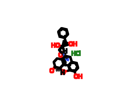 Cl.O=C1CCC2(OCC(O)C(O)c3ccccc3)[C@H]3Cc4ccc(O)c5c4[C@@]2(CCN3CC2CC2)[C@H]1O5